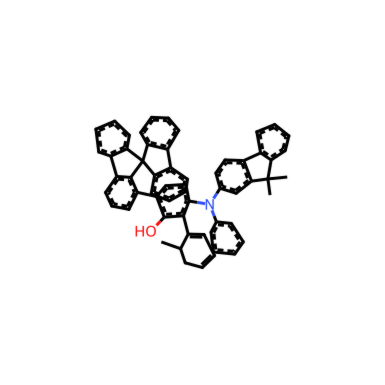 CC1CC=CC=C1c1c(N(c2ccccc2)c2ccc3c(c2)C(C)(C)c2ccccc2-3)ccc(-c2cccc3c2C2(c4ccccc4-c4ccccc42)c2ccccc2-3)c1O